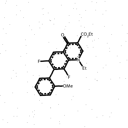 CCOC(=O)c1cn(CC)c2c(F)c(-c3ccccc3OC)c(F)cc2c1=O